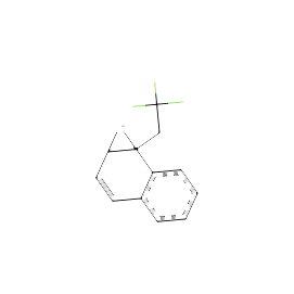 FC(F)(F)CC12[Se]C1C=Cc1ccccc12